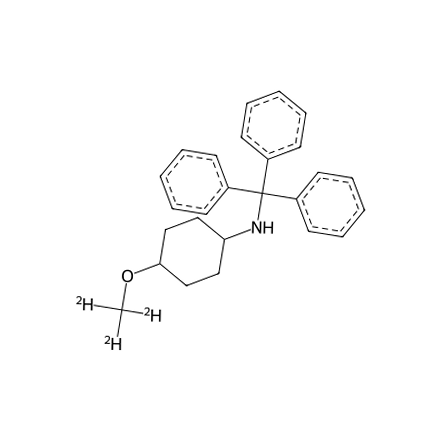 [2H]C([2H])([2H])OC1CCC(NC(c2ccccc2)(c2ccccc2)c2ccccc2)CC1